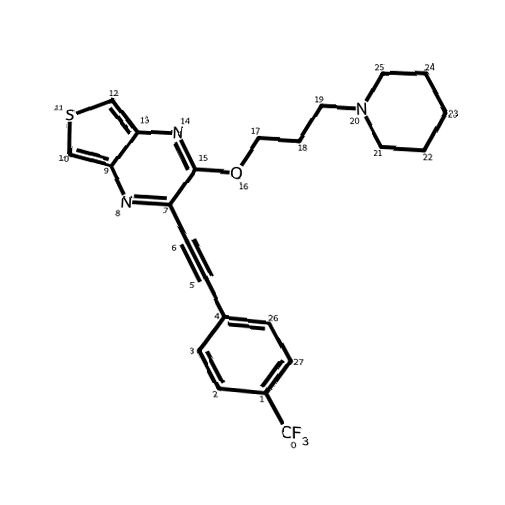 FC(F)(F)c1ccc(C#Cc2nc3cscc3nc2OCCCN2CCCCC2)cc1